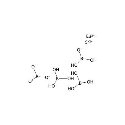 OB(O)O.OB(O)O.[Eu+2].[O-]B(O)O.[O-]B([O-])[O-].[Sr+2]